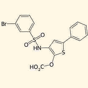 O=C(O)Oc1sc(-c2ccccc2)cc1NS(=O)(=O)c1cccc(Br)c1